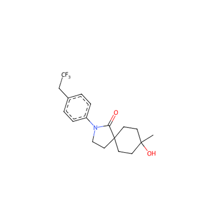 CC1(O)CCC2(CCN(c3ccc(CC(F)(F)F)cc3)C2=O)CC1